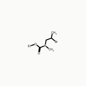 CCOC(=O)N(C)CC(C)Br